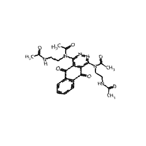 CC(=O)NCCN(C(C)=O)c1nnc(N(CCNC(C)=O)C(C)=O)c2c1C(=O)c1ccccc1C2=O